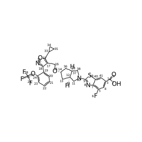 O=C(O)c1cc(F)c2nc(N3C[C@H]4C[C@H](OCc5c(-c6ccccc6OC(F)(F)F)noc5C5CC5)C[C@H]4C3)sc2c1